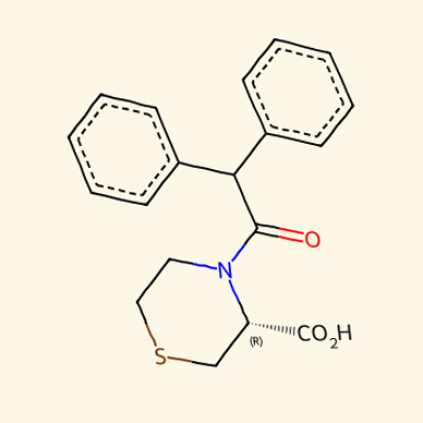 O=C(O)[C@@H]1CSCCN1C(=O)C(c1ccccc1)c1ccccc1